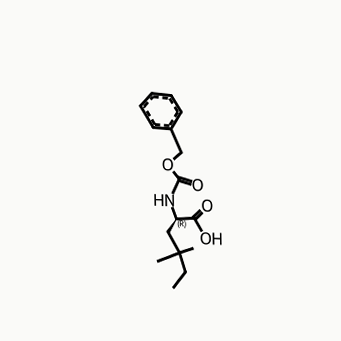 CCC(C)(C)C[C@@H](NC(=O)OCc1ccccc1)C(=O)O